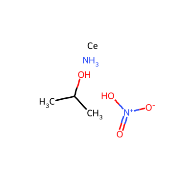 CC(C)O.N.O=[N+]([O-])O.[Ce]